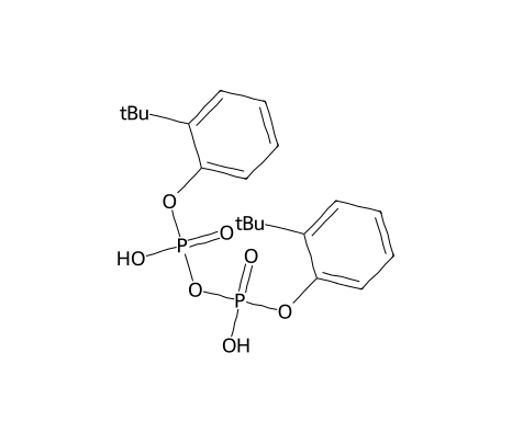 CC(C)(C)c1ccccc1OP(=O)(O)OP(=O)(O)Oc1ccccc1C(C)(C)C